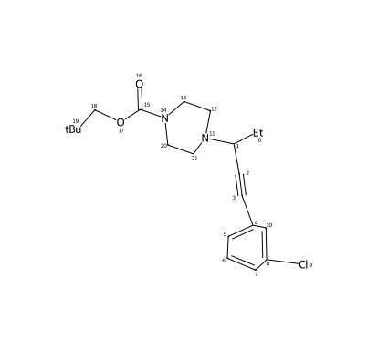 CCC(C#Cc1cccc(Cl)c1)N1CCN(C(=O)OCC(C)(C)C)CC1